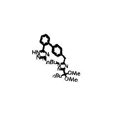 CCCCn1nc(C(CCCC)(OC)OC)nc1Cc1ccc(-c2ccccc2-c2nnn[nH]2)cc1